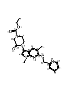 CCOC(=O)N1CCN(c2cn(C)c3nc(OCc4ccccn4)c(C)cc23)C(=O)C1